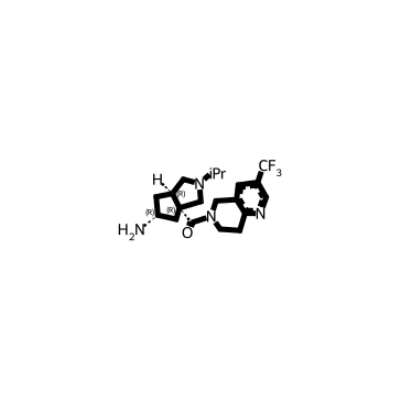 CC(C)N1C[C@@H]2C[C@@H](N)C[C@]2(C(=O)N2CCc3ncc(C(F)(F)F)cc3C2)C1